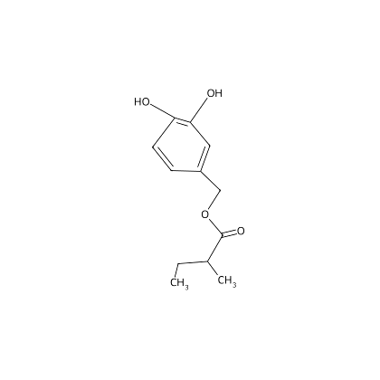 CCC(C)C(=O)OCc1ccc(O)c(O)c1